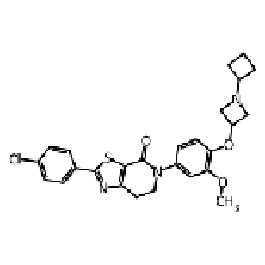 COc1cc(N2CCc3nc(-c4ccc(Cl)cc4)sc3C2=O)ccc1OC1CN(C2CCC2)C1